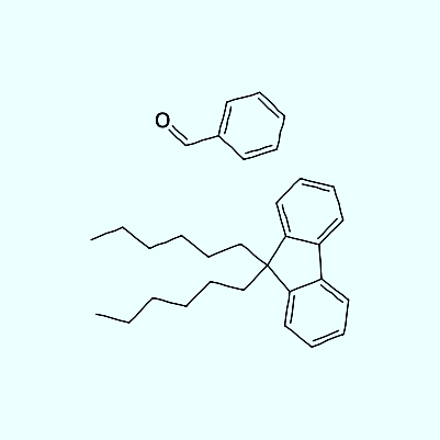 CCCCCCC1(CCCCCC)c2ccccc2-c2ccccc21.O=Cc1ccccc1